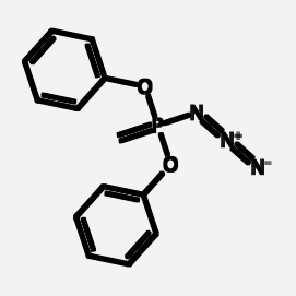 C=P(N=[N+]=[N-])(Oc1ccccc1)Oc1ccccc1